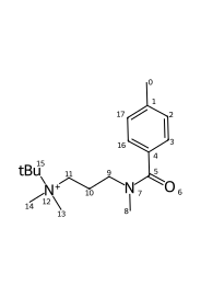 Cc1ccc(C(=O)N(C)CCC[N+](C)(C)C(C)(C)C)cc1